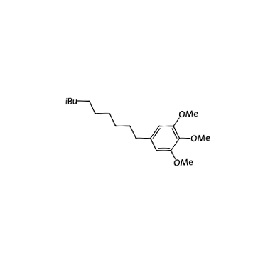 CCC(C)CCCCCCc1cc(OC)c(OC)c(OC)c1